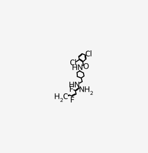 C=C/C(F)=C\C(F)=C(/N)NCC1CCC(NC(=O)c2cc(Cl)ccc2Cl)CC1